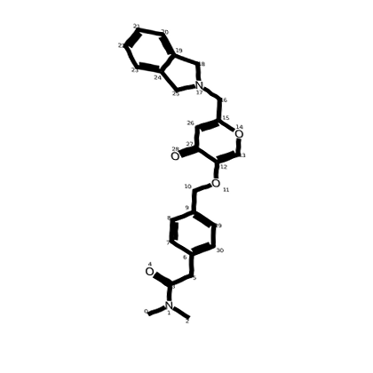 CN(C)C(=O)Cc1ccc(COc2coc(CN3Cc4ccccc4C3)cc2=O)cc1